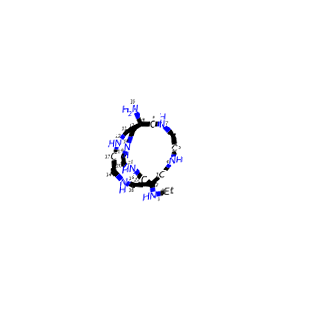 CCNC12CNCCNCC(N)(CNCCNC1)CNCCNC2